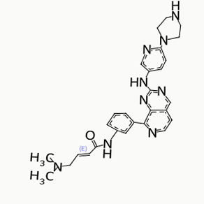 CN(C)C/C=C/C(=O)Nc1cccc(-c2nccc3cnc(Nc4ccc(N5CCNCC5)nc4)nc23)c1